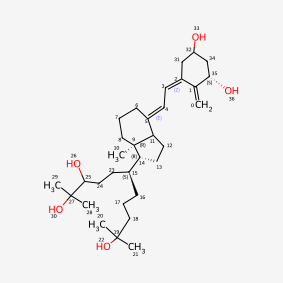 C=C1/C(=C\C=C2/CCC[C@@]3(C)C2CC[C@@H]3[C@@H](CCCC(C)(C)O)CCC(O)C(C)(C)O)CC(O)C[C@@H]1O